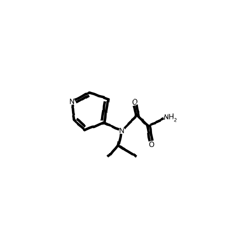 CC(C)N(C(=O)C(N)=O)c1ccncc1